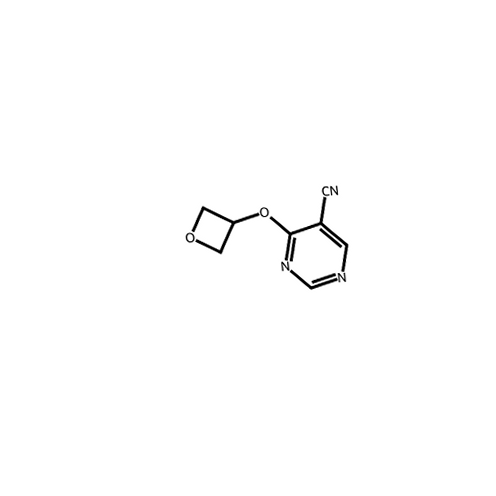 N#Cc1cncnc1OC1COC1